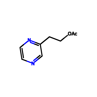 CC(=O)OCCc1cnccn1